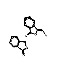 O=C1O/C(=C\Br)c2ccccc21.O=C1OCc2ccccc21